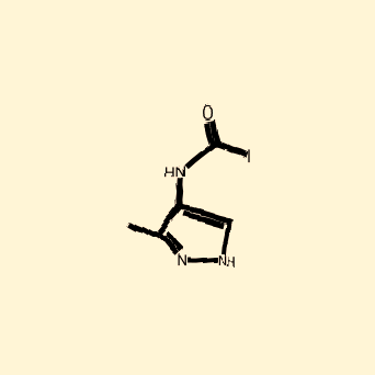 Cc1n[nH]cc1NC(=O)I